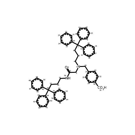 O=C(CN(CCCC(c1ccccc1)(c1ccccc1)c1ccccc1)Cc1ccc(C(=O)O)cc1)NCCCC(c1ccccc1)(c1ccccc1)c1ccccc1